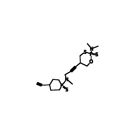 C#CC1CCP(=S)(N(C)CC#CC2COP(=S)(N(C)C)SC2)CC1